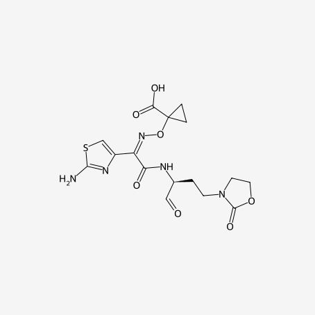 Nc1nc(/C(=N/OC2(C(=O)O)CC2)C(=O)N[C@H](C=O)CCN2CCOC2=O)cs1